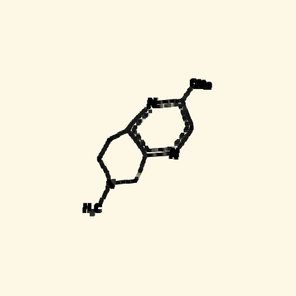 COc1cnc2c(n1)CCN(C)C2